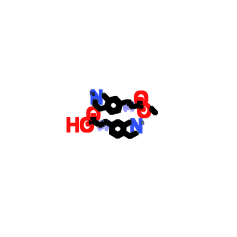 CCOC(=O)/C=C/c1ccc2c(c1)CN(C)CC2.CN1CCc2ccc(/C=C/C(=O)O)cc2C1